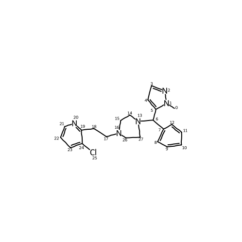 Cn1nccc1C(c1ccccc1)N1CCN(CCc2ncccc2Cl)CC1